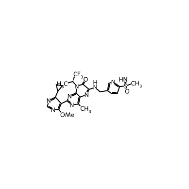 COc1ncnc(C2CC2)c1-c1nc(C)c2nc(NCc3ccc(S(C)(=N)=O)nc3)c(=O)n([C@@H](C)C(F)(F)F)c2n1